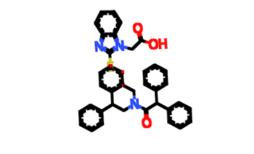 O=C(O)Cn1c(SCCCN(CC(c2ccccc2)c2ccccc2)C(=O)C(c2ccccc2)c2ccccc2)nc2ccccc21